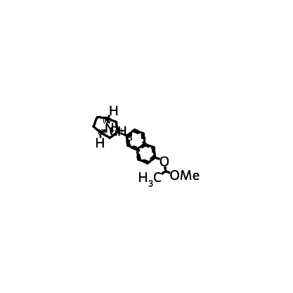 COC(C)Oc1ccc2cc([C@@H]3C[C@H]4CC[C@@H](C3)N4C)ccc2c1